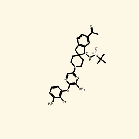 CC(=O)c1ccc2c(c1)[C@@H](N[S@+]([O-])C(C)(C)C)C1(CCN(c3cnc(Sc4ccnc(N)c4Cl)c(N)n3)CC1)C2